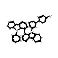 N#CC1=CCC(c2cccc(-n3c4c(c5cccc(-c6cccc7c6N(c6ccccc6)C6CCC=CC76)c53)C=CCC4)c2)C=C1